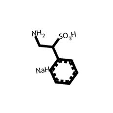 NCC(c1ccccc1)S(=O)(=O)O.[NaH]